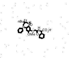 CCCCC1(CC)CN(c2ccccc2)c2cc(OC)c(OCC(=O)N[C@@H](C(=O)O)c3ccccc3)cc2S(=O)(=O)C1